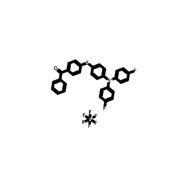 F[P-](F)(F)(F)(F)F.O=C(c1ccccc1)c1ccc(Sc2ccc([S+](c3ccc(F)cc3)c3ccc(F)cc3)cc2)cc1